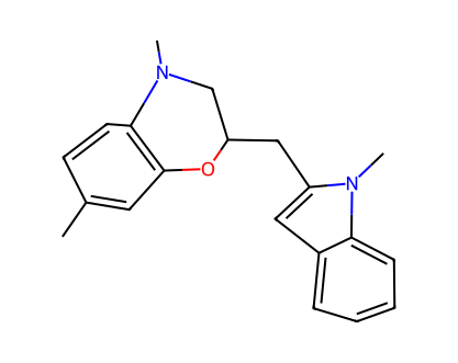 Cc1ccc2c(c1)OC(Cc1cc3ccccc3n1C)CN2C